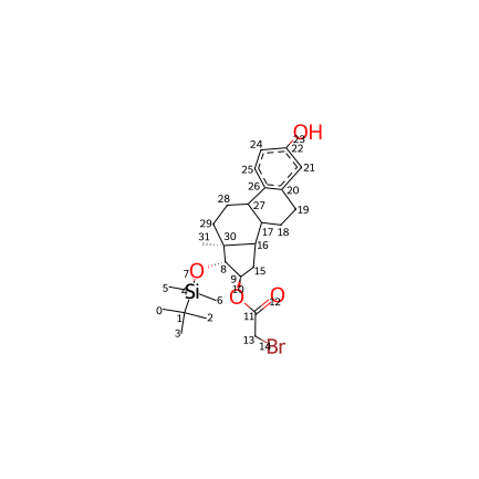 CC(C)(C)[Si](C)(C)O[C@H]1[C@H](OC(=O)CBr)CC2C3CCc4cc(O)ccc4C3CC[C@@]21C